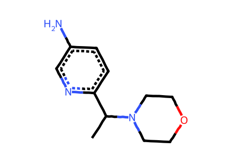 CC(c1ccc(N)cn1)N1CCOCC1